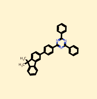 CC1(C)c2ccccc2-c2cc(-c3ccc(-c4nc(-c5ccccc5)nc(-c5ccccc5)n4)cc3)ccc21